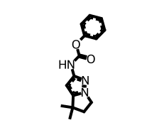 CC1(C)CCn2nc(NC(=O)Oc3ccccc3)cc21